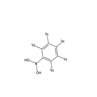 [2H]c1c([2H])c([2H])c(B(O)O)c([2H])c1[2H]